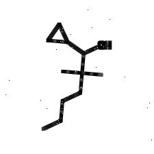 CCCCC(C)(C)C(O)C1CC1